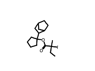 CCC(C)(I)C(=O)OC1(C2CC3CCC2C3)CCCC1